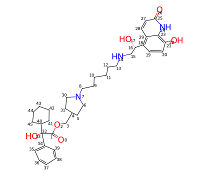 O=C(OCC1CCN(CCCCCCNC[C@H](O)c2ccc(O)c3[nH]c(=O)ccc23)CC1)C(O)(c1ccccc1)C1CCCCC1